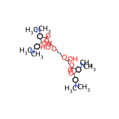 CN(C)c1ccc(C(=O)c2ccc(N(C)C)cc2C(=O)OCC(O)COCCCCOCC(O)COC(=O)c2cc(N(C)C)ccc2C(O)c2ccc(N(C)C)cc2)cc1